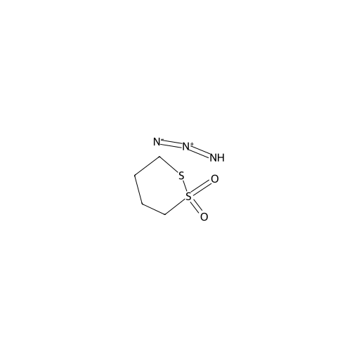 O=S1(=O)CCCCS1.[N-]=[N+]=N